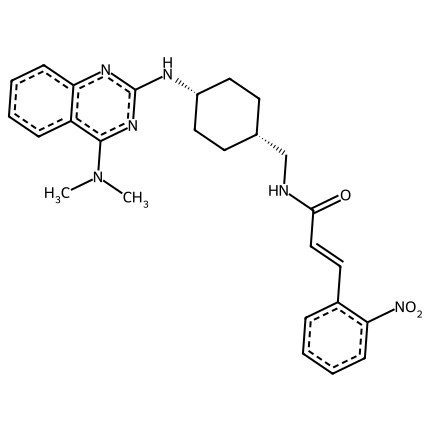 CN(C)c1nc(N[C@H]2CC[C@@H](CNC(=O)/C=C/c3ccccc3[N+](=O)[O-])CC2)nc2ccccc12